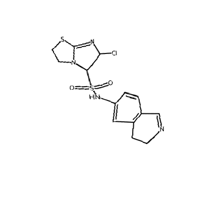 O=S(=O)(Nc1ccc2c(c1)CCN=C2)C1C(Cl)N=C2SCCN21